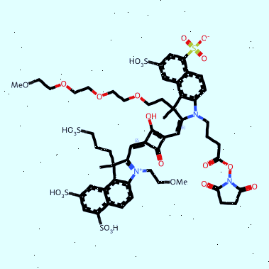 COCCOCCOCCOCCC1(C)/C(=C\C2=C(O)C(=C/C3=[N+](CCOC)c4ccc5c(S(=O)(=O)O)cc(S(=O)(=O)O)cc5c4C3(C)CCCS(=O)(=O)O)/C2=O)N(CCCC(=O)ON2C(=O)CCC2=O)c2ccc3c(S(=O)(=O)[O-])cc(S(=O)(=O)O)cc3c21